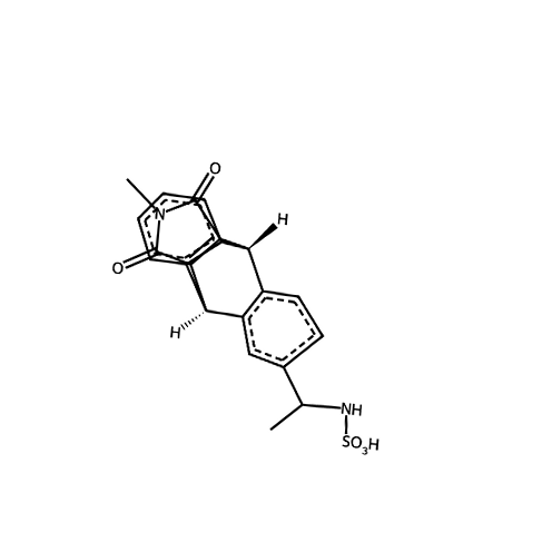 CC(NS(=O)(=O)O)c1ccc2c(c1)[C@H]1C3=C(C(=O)N(C)C3=O)[C@@H]2c2ccccc21